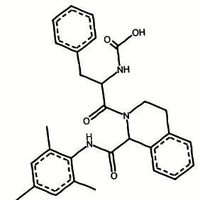 Cc1cc(C)c(NC(=O)C2c3ccccc3CCN2C(=O)C(Cc2ccccc2)NC(=O)O)c(C)c1